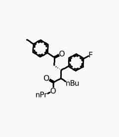 CCCCC(C(=O)OCCC)[C@H](CC(=O)c1ccc(C)cc1)c1ccc(F)cc1